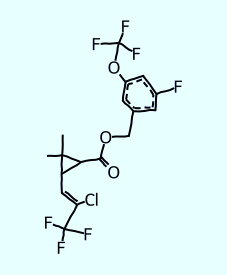 CC1(C)C(C=C(Cl)C(F)(F)F)C1C(=O)OCc1cc(F)cc(OC(F)(F)F)c1